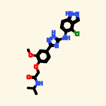 COc1cc(-c2n[nH]c(Nc3ccc4[nH]ncc4c3Cl)n2)ccc1OCC(=O)NC(C)C